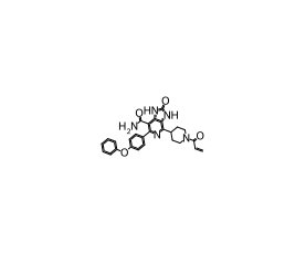 C=CC(=O)N1CCC(c2nc(-c3ccc(Oc4ccccc4)cc3)c(C(N)=O)c3[nH]c(=O)[nH]c23)CC1